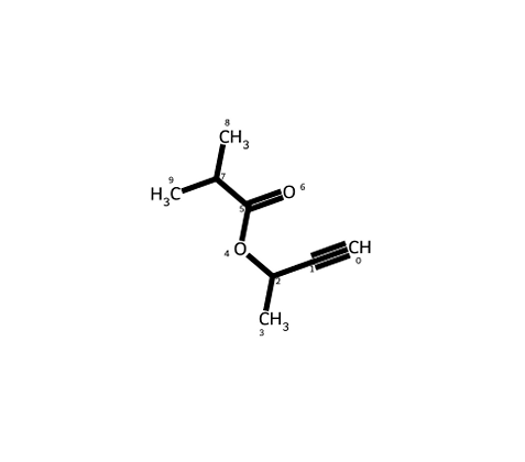 C#CC(C)OC(=O)C(C)C